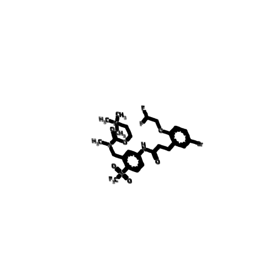 CN(Cc1cc(NC(=O)CCc2cc(Br)ccc2OCC(F)F)ccc1S(=O)(=O)C(F)(F)F)C(=O)OCC[Si](C)(C)C